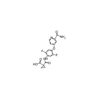 NC(=O)c1cc(Oc2cc(F)c(NC(=O)C3(C(=O)O)CC3)cc2F)ccn1